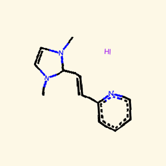 CN1C=CN(C)C1/C=C/c1ccccn1.I